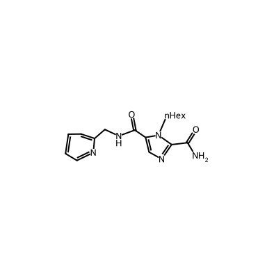 CCCCCCn1c(C(=O)NCc2ccccn2)cnc1C(N)=O